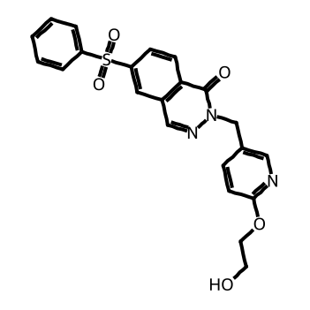 O=c1c2ccc(S(=O)(=O)c3ccccc3)cc2cnn1Cc1ccc(OCCO)nc1